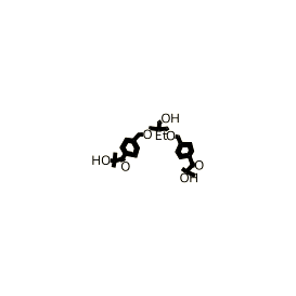 CCC(CO)(COCc1ccc(C(=O)C(C)(C)O)cc1)COCc1ccc(C(=O)C(C)(C)O)cc1